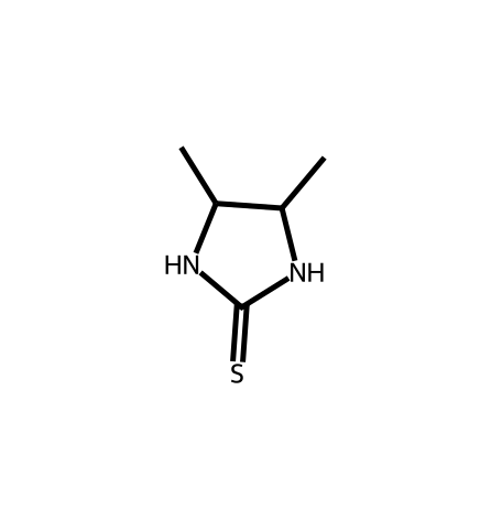 CC1NC(=S)NC1C